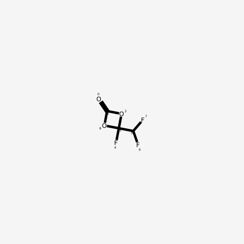 O=C1OC(F)(C(F)F)O1